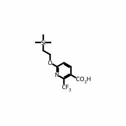 C[Si](C)(C)CCOc1ccc(C(=O)O)c(C(F)(F)F)n1